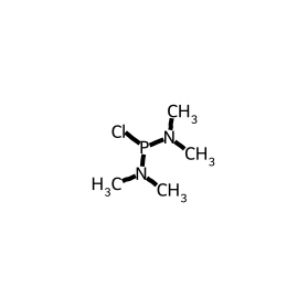 CN(C)P(Cl)N(C)C